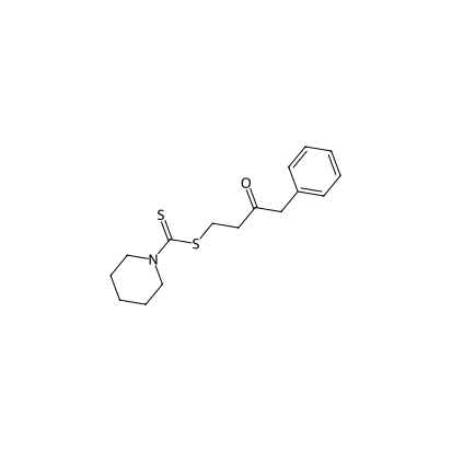 O=C(CCSC(=S)N1CCCCC1)Cc1ccccc1